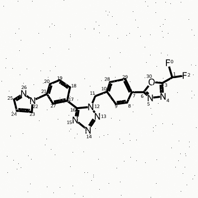 FC(F)c1nnc(-c2ccc(Cn3nnnc3-c3cccc(-n4cccn4)c3)cc2)o1